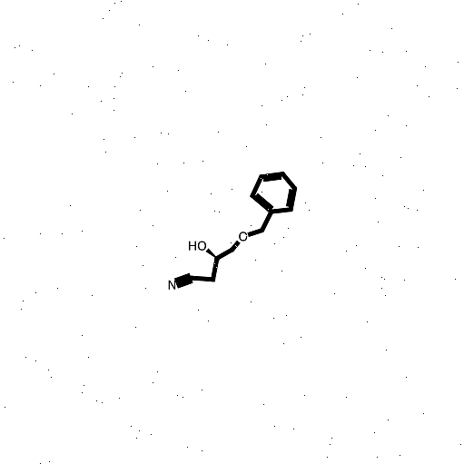 N#CC[C@@H](O)COCc1ccccc1